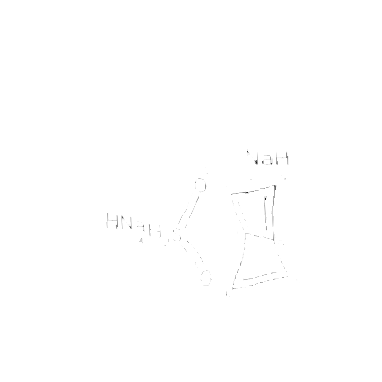 O=[SH2]=O.[NaH].[NaH].c1cc2ccc1-2